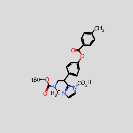 Cc1ccc(C(=O)Oc2ccc(C(CN(C)C(=O)OC(C)(C)C)c3nccn3C(=O)O)cc2)cc1